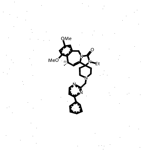 CCN1C(=O)N2Cc3cc(OC)cc(OC)c3[C@@H](C)C=C2C12CCN(Cc1nccc(-c3ccccc3)n1)CC2